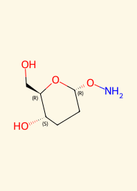 NO[C@@H]1CC[C@H](O)[C@@H](CO)O1